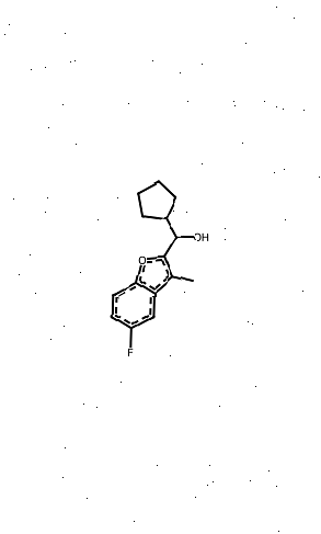 Cc1c(C(O)C2CCCC2)oc2ccc(F)cc12